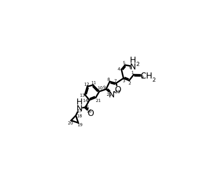 C=C/C=C(\C=C/N)c1cc(-c2cccc(C(=O)NC3CC3)c2)no1